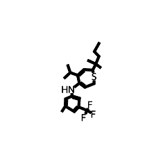 CCCC(C)(C)C1C=C(C(C)C)C(Nc2cc(C)cc(C(F)(F)F)c2)=CCS1